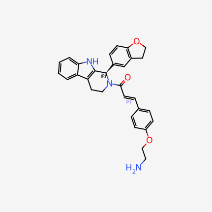 NCCOc1ccc(/C=C/C(=O)N2CCc3c([nH]c4ccccc34)[C@H]2c2ccc3c(c2)CCO3)cc1